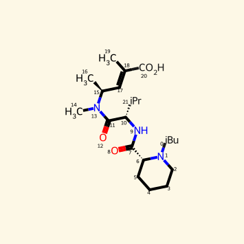 CCC(C)N1CCCC[C@@H]1C(=O)N[C@H](C(=O)N(C)[C@@H](C)/C=C(\C)C(=O)O)C(C)C